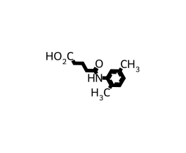 Cc1ccc(C)c(NC(=O)CCCC(=O)O)c1